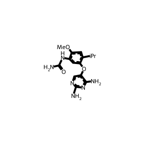 COc1cc(C(C)C)c(Oc2cnc(N)nc2N)cc1NC(N)=O